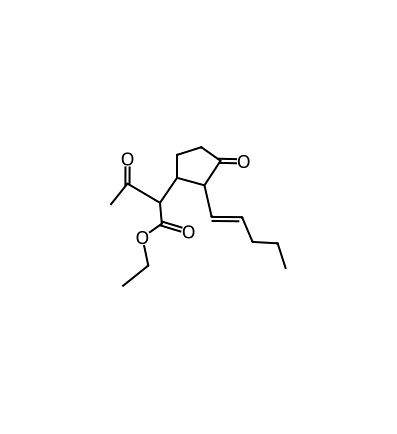 CCCC=CC1C(=O)CCC1C(C(C)=O)C(=O)OCC